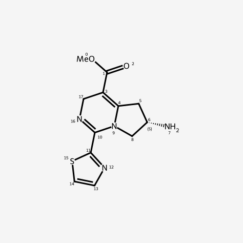 COC(=O)C1=C2C[C@H](N)CN2C(c2nccs2)=NC1